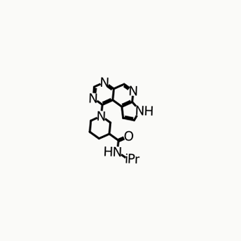 CC(C)NC(=O)C1CCCN(c2ncnc3cnc4[nH]ccc4c23)C1